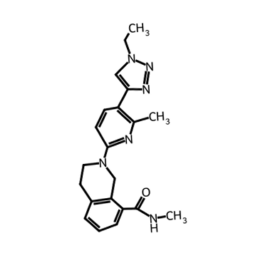 CCn1cc(-c2ccc(N3CCc4cccc(C(=O)NC)c4C3)nc2C)nn1